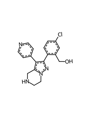 OCc1cc(Cl)ccc1-c1nn2c(c1-c1ccncc1)CNCC2